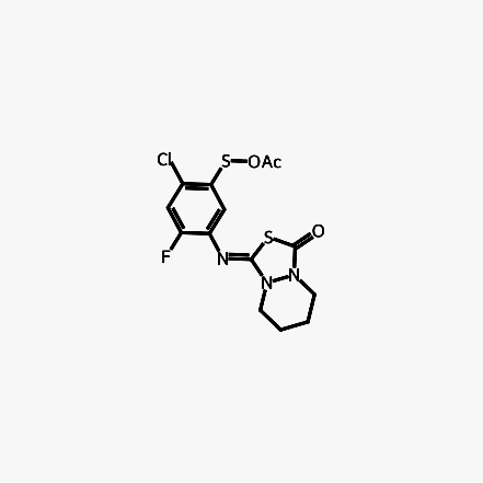 CC(=O)OSc1cc(N=c2sc(=O)n3n2CCCC3)c(F)cc1Cl